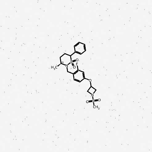 C[C@H]1CCC(c2ccccc2)S(=O)(=O)N1Cc1ccc(OC2CN(S(C)(=O)=O)C2)cc1F